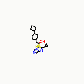 OC(CC1CCC(C2CCCC2)CC1)[SH]1C(C2CC2)=Nc2cncn21